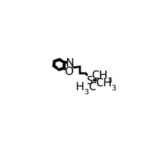 CC(C)(C)SCCCc1nc2ccccc2o1